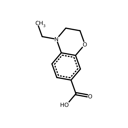 CCN1CCOc2cc(C(=O)O)ccc21